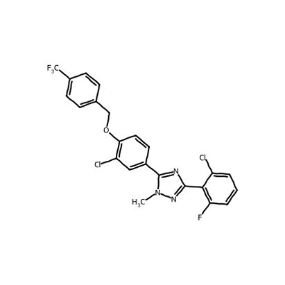 Cn1nc(-c2c(F)cccc2Cl)nc1-c1ccc(OCc2ccc(C(F)(F)F)cc2)c(Cl)c1